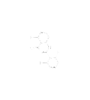 O=c1oc(-c2c(F)cccc2F)nc2cccc(F)c12